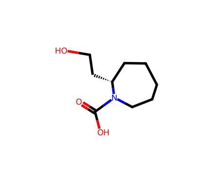 O=C(O)N1CCCCC[C@H]1CCO